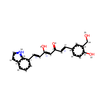 O=C(/C=C(O)/C=C/c1cccc2cc[nH]c12)/C=C/c1ccc(O)c(CO)c1